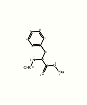 CC(C)(C)OC(=O)C(Cc1ccccc1)N[C]=O